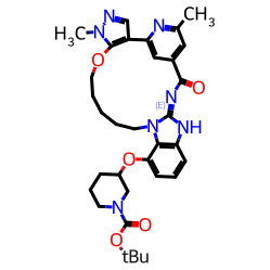 Cc1cc2cc(n1)-c1cnn(C)c1OCCCCCN1/C(=N/C2=O)Nc2cccc(OC3CCCN(C(=O)OC(C)(C)C)C3)c21